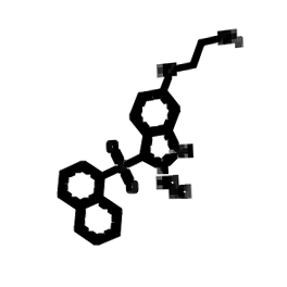 Cl.Cl.NCCNc1ccc2c(S(=O)(=O)c3cccc4ccccc34)n[nH]c2c1